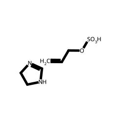 C1=NCCN1.C=CCOS(=O)(=O)O